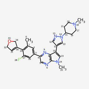 Cc1cc(-c2cnc3c(n2)c(-c2cnn(C4CCN(C)CC4)c2)cn3C)cc(F)c1C1=CCOC1